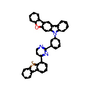 c1cc(-c2nccc(-c3cccc4c3sc3ccccc34)n2)cc(-n2c3ccccc3c3cc4c(cc32)oc2ccccc24)c1